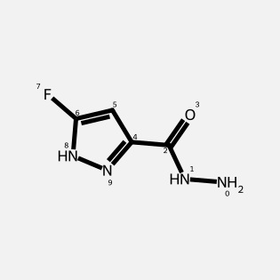 NNC(=O)c1cc(F)[nH]n1